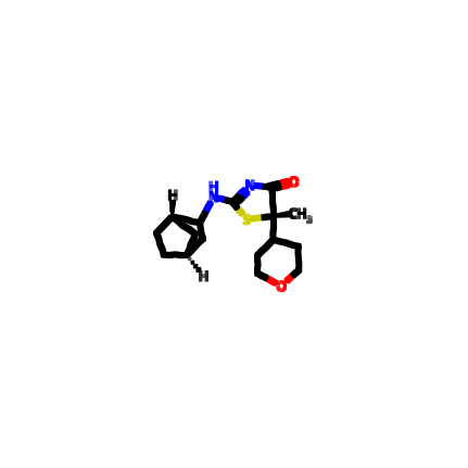 C[C@@]1(C2CCOCC2)SC(NC2C[C@H]3CC[C@H]2C3)=NC1=O